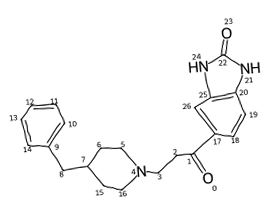 O=C(CCN1CCC(Cc2ccccc2)CC1)c1ccc2[nH]c(=O)[nH]c2c1